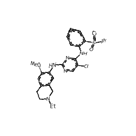 CCN1CCc2cc(OC)c(Nc3ncc(Cl)c(Nc4ccccc4S(=O)(=O)C(C)C)n3)cc2C1